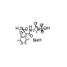 NS(=O)(=O)C(C(=O)NC1CN(S(=O)(=O)O)C1=O)c1ccccc1.[NaH]